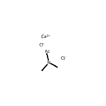 CC(=O)N(C)C.[Ca+2].[Cl-].[Cl-]